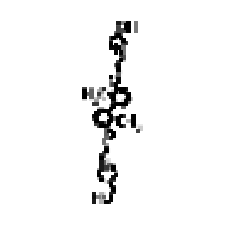 Cc1c(OCCCN2CCC(CO)CC2)cccc1-c1cccc(OCCCN2CC[C@@H](O)C2)c1C